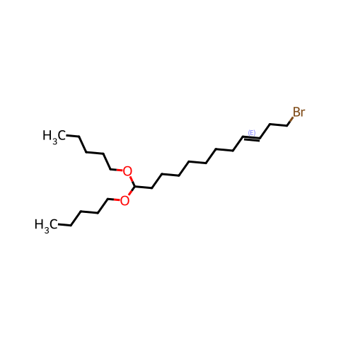 CCCCCOC(CCCCCCC/C=C/CCBr)OCCCCC